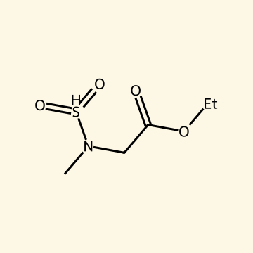 CCOC(=O)CN(C)[SH](=O)=O